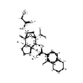 Cc1c(C(=O)O[C@H]2[C@@H]3[C@H](C)CC[C@H]3C3(C)O[C@@]2(C(C)C)C[C@H]3OC(=O)CO)ccc2c1CCCC2